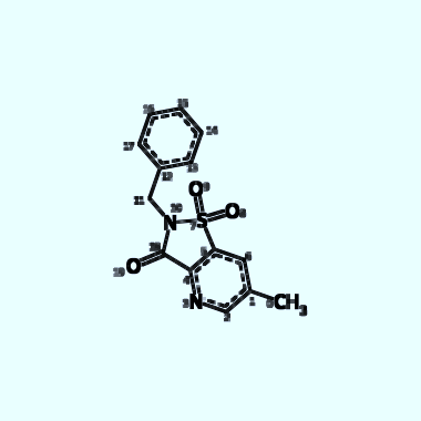 Cc1cnc2c(c1)S(=O)(=O)N(Cc1ccccc1)C2=O